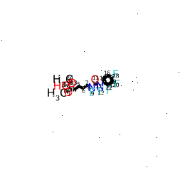 CO[Si](O)(CCCCN(F)C(=O)N(F)c1ccc(F)c(F)c1F)OC